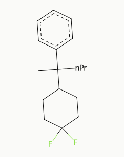 CCCC(C)(c1ccccc1)C1CCC(F)(F)CC1